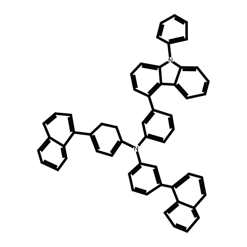 C1=C(c2cccc3ccccc23)CCC(N(c2cccc(-c3cccc4ccccc34)c2)c2cccc(-c3cccc4c3c3ccccc3n4-c3ccccc3)c2)=C1